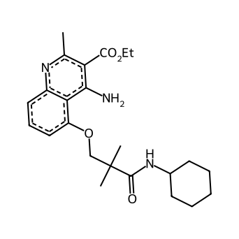 CCOC(=O)c1c(C)nc2cccc(OCC(C)(C)C(=O)NC3CCCCC3)c2c1N